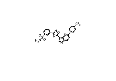 NS(=O)(=O)c1cccc(-c2noc(-c3cnn4ccc(-c5ccc(C(F)(F)F)cc5)nc34)n2)c1